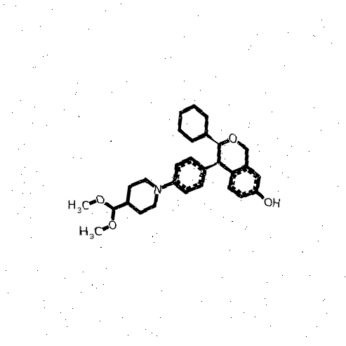 COC(OC)C1CCN(c2ccc([C@@H]3c4ccc(O)cc4CO[C@@H]3C3CCCCC3)cc2)CC1